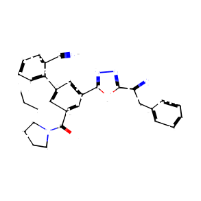 CCC[C@H]1CCCN1C(=O)c1cc(-c2nnc(C(=N)Cc3ccccc3)o2)cc(-c2ccccc2C#N)c1